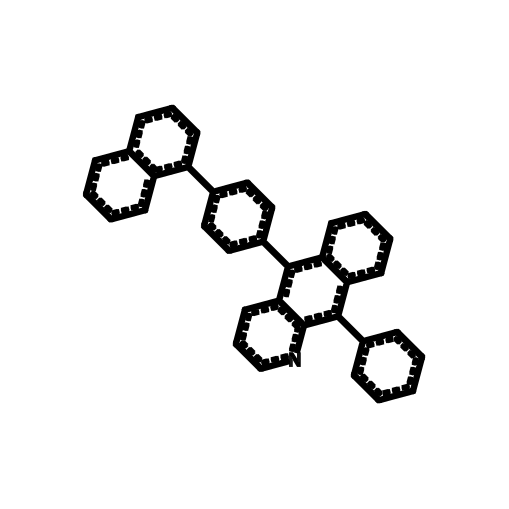 c1ccc(-c2c3ccccc3c(-c3ccc(-c4cccc5ccccc45)cc3)c3cccnc23)cc1